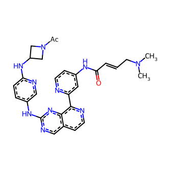 CC(=O)N1CC(Nc2ccc(Nc3ncc4ccnc(-c5cc(NC(=O)C=CCN(C)C)ccn5)c4n3)cn2)C1